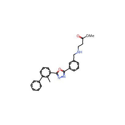 COC(=O)CCNCc1cccc(-c2nnc(-c3cccc(-c4ccccc4)c3C)o2)c1